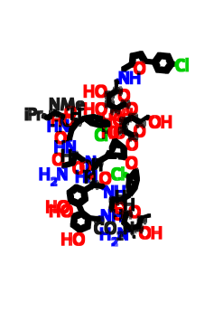 CN[C@H](CC(C)C)C(=O)NC1C(=O)N[C@@H](CC(N)=O)C(=O)N[C@H]2C(=O)N[C@H]3C(=O)N[C@H](C(=O)N[C@@H](C(=O)O)c4cc(O)cc(O)c4-c4cc3ccc4O)[C@H](O[C@H]3C[C@](C)(N)[C@@H](O)[C@H](C)O3)c3ccc(c(Cl)c3)Oc3cc2cc(c3O[C@@H]2O[C@H](CO)[C@@H](O[C@@H]3O[C@H](CNCc4ccc(-c5ccc(Cl)cc5)o4)[C@H](O)[C@H](O)[C@H]3O)[C@H](O)[C@H]2O)Oc2ccc(cc2Cl)[C@H]1O